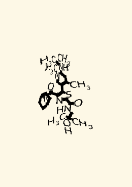 Cc1cc(NC(C)(C)C)ncc1-c1sc(C(=O)NCC(C)(C)O)nc1C(=O)N1C2CCC1CC2